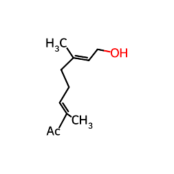 CC(=O)C(C)=CCCC(C)=CCO